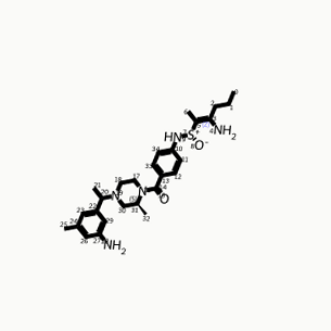 CCC/C(N)=C(\C)[S+]([O-])Nc1ccc(C(=O)N2CCN(C(C)c3cc(C)cc(N)c3)C[C@@H]2C)cc1